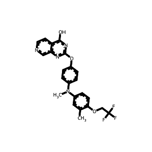 Cc1cc(N(C)c2ccc(Oc3nc(O)c4ccncc4n3)cc2)ccc1OCC(F)(F)F